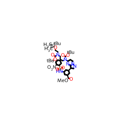 COC(=O)c1cc(NS(=O)(=O)c2ccccc2[N+](=O)[O-])cc(-c2cnn3ccc(N(CCCN(CCO[Si](C)(C)C(C)(C)C)C(=O)OC(C)(C)C)C(=O)OC(C)(C)C)nc23)c1